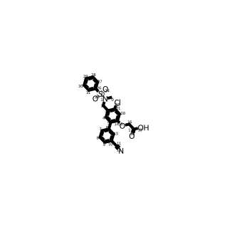 CN(Cc1cc(-c2cccc(C#N)c2)c(OCC(=O)O)cc1Cl)S(=O)(=O)c1ccccc1